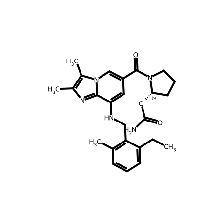 CCc1cccc(C)c1CNc1cc(C(=O)N2CCC[C@@H]2OC(N)=O)cn2c(C)c(C)nc12